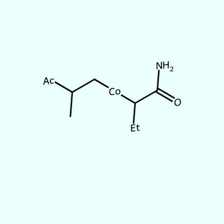 CC[CH]([Co][CH2]C(C)C(C)=O)C(N)=O